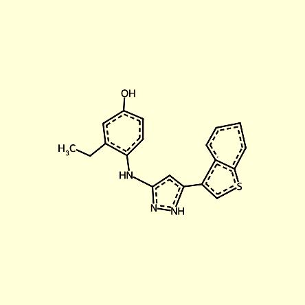 CCc1cc(O)ccc1Nc1cc(-c2csc3ccccc23)[nH]n1